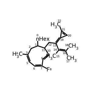 CCCCCCC1C\C(C)=C/C=C(F)\C=C\C1C/C(C(C)=C(C)C)=C1C=C/1C